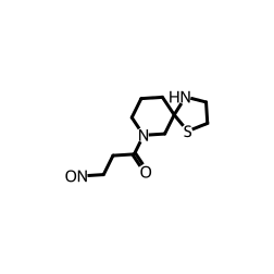 O=NCCC(=O)N1CCCC2(C1)NCCS2